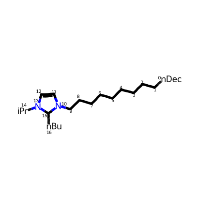 CCCCCCCCCCCCCCCCCCCN1C=CN(C(C)C)C1CCCC